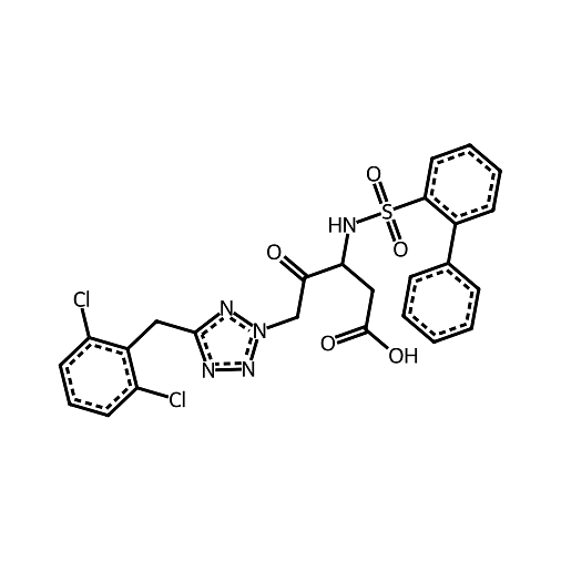 O=C(O)CC(NS(=O)(=O)c1ccccc1-c1ccccc1)C(=O)Cn1nnc(Cc2c(Cl)cccc2Cl)n1